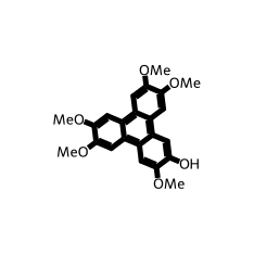 COc1cc2c(cc1O)c1cc(OC)c(OC)cc1c1cc(OC)c(OC)cc21